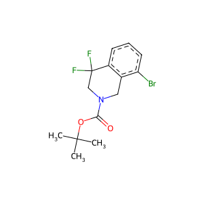 CC(C)(C)OC(=O)N1Cc2c(Br)cccc2C(F)(F)C1